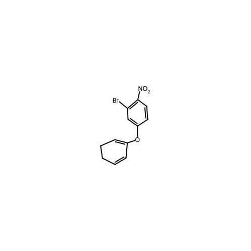 O=[N+]([O-])c1ccc(OC2=CCCC=C2)cc1Br